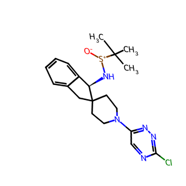 CC(C)(C)[S+]([O-])N[C@@H]1c2ccccc2CC12CCN(c1cnc(Cl)nn1)CC2